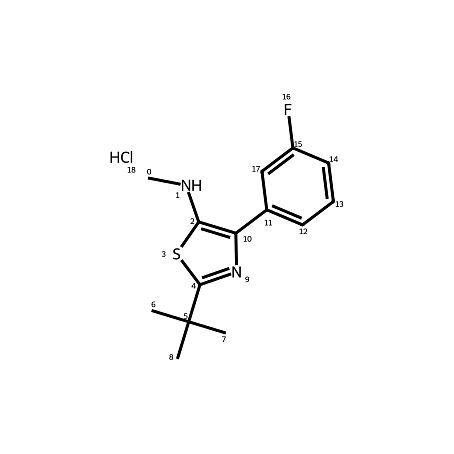 CNc1sc(C(C)(C)C)nc1-c1cccc(F)c1.Cl